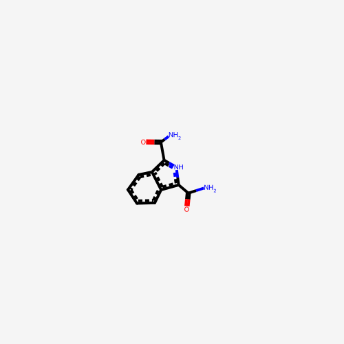 NC(=O)c1[nH]c(C(N)=O)c2ccccc12